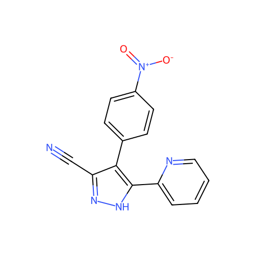 N#Cc1n[nH]c(-c2ccccn2)c1-c1ccc([N+](=O)[O-])cc1